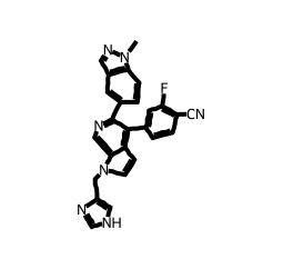 Cn1ncc2cc(-c3ncc4c(ccn4Cc4c[nH]cn4)c3-c3ccc(C#N)c(F)c3)ccc21